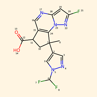 CC1(c2cnn(C(F)F)c2)CC(C(=O)O)c2cnc3cc(F)nn3c21